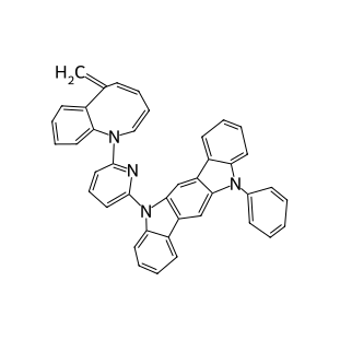 C=C1/C=C\C=C/N(c2cccc(-n3c4ccccc4c4cc5c(cc43)c3ccccc3n5-c3ccccc3)n2)c2ccccc21